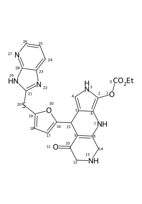 CCOC(=O)Oc1[nH]cc2c1NC1=C(C(=O)CNC1)C2c1ccc(Sc2nc3cccnc3[nH]2)o1